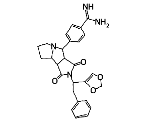 N=C(N)c1ccc(C2C3C(=O)N(C(Cc4ccccc4)C4=COCO4)C(=O)C3C3CCCN32)cc1